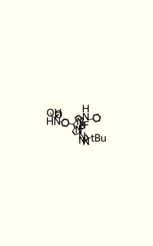 CC(C)(C)c1cn(C2=N/C(=C(/c3ccc(NC(=O)CO)cc3)c3ccc(NCc4ccccc4)n3B(F)F)C=C2)nn1